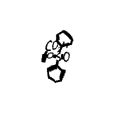 C#CC(=O)O.O=S(=O)(c1ccccc1)c1ccccc1